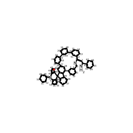 NC(/C=C(\N=C\c1ccccc1)c1cccc(-c2cccc(-c3cccc(-c4ccc5c(c4)C4(c6ccccc6-5)c5ccccc5N(c5ccccc5)c5ccccc54)c3)c2)c1)c1ccccc1